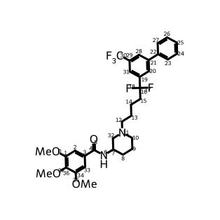 COc1cc(C(=O)NC2CCCN(CCCCC(F)(F)c3cc(-c4ccccc4)cc(C(F)(F)F)c3)C2)cc(OC)c1OC